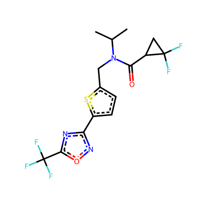 CC(C)N(Cc1ccc(-c2noc(C(F)(F)F)n2)s1)C(=O)C1CC1(F)F